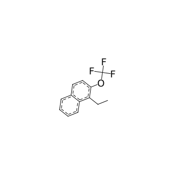 CCc1c(OC(F)(F)F)ccc2ccccc12